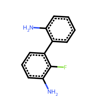 Nc1ccccc1-c1cccc(N)c1F